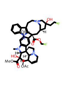 CC[C@]12C=CCN3CC[C@@]4(c5cc([C@@]6(C(=O)OCF)C[C@H]7CN(CCc8c6[nH]c6ccccc86)C[C@](O)(CCF)C7)c(OC)cc5N(C)[C@H]4[C@@](O)(C(=O)OC)[C@@H]1OC(C)=O)[C@@H]32